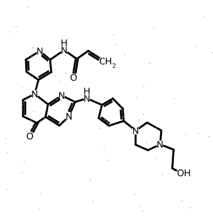 C=CC(=O)Nc1cc(-n2ccc(=O)c3cnc(Nc4ccc(N5CCN(CCO)CC5)cc4)nc32)ccn1